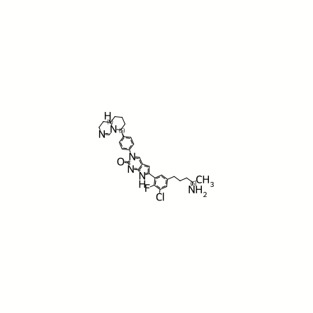 C[C@H](N)CCCc1cc(Cl)c(F)c(-c2cc3cn(-c4ccc([C@@H]5CCC[C@H]6CCN=CN65)cc4)c(=O)nc3[nH]2)c1